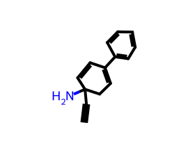 C#CC1(N)C=CC(c2ccccc2)=CC1